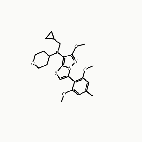 COc1cc(C)cc(OC)c1-c1csc2c(N(CC3CC3)C3CCOCC3)c(OC)nn12